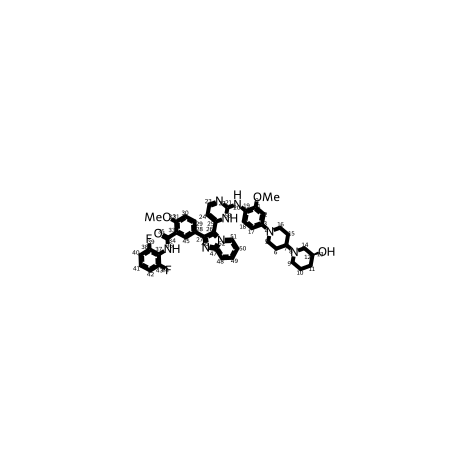 COc1cc(N2CCC(N3CCC[C@H](O)C3)CC2)ccc1NC1N=CC=C(c2c(-c3ccc(OC)c(C(=O)Nc4c(F)cccc4F)c3)nc3ccccn23)N1